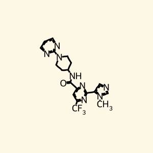 Cn1cncc1-c1nc(C(=O)NC2CCN(c3ncccn3)CC2)cc(C(F)(F)F)n1